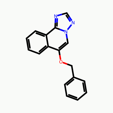 c1ccc(COc2cn3ncnc3c3ccccc23)cc1